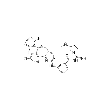 CN(C)C1CCN(C(=N)NC(=O)c2cccc(Nc3ncc4c(n3)-c3ccc(Cl)cc3C(c3c(F)cccc3F)=NC4)c2)C1